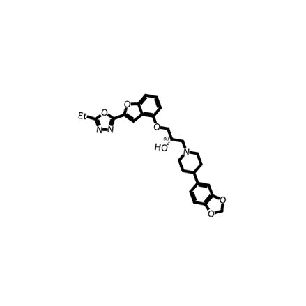 CCc1nnc(-c2cc3c(OC[C@@H](O)CN4CCC(c5ccc6c(c5)OCO6)CC4)cccc3o2)o1